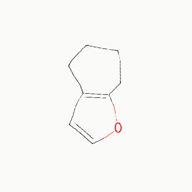 c1cc2c(o1)CCCC2